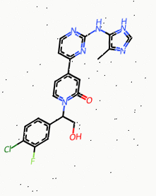 Cc1nc[nH]c1Nc1nccc(-c2ccn(C(CO)c3ccc(Cl)c(F)c3)c(=O)c2)n1